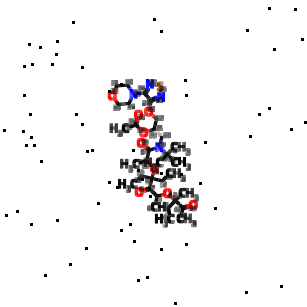 CCC(C)(OC(C)C(=O)C(CC)(CC)OC(C)C(=O)N(C[C@@H](COc1nsnc1N1CCOCC1)OC(C)=O)C(C)(C)C)C(C)=O